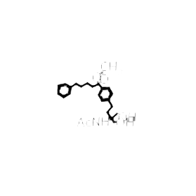 CC(=O)NC(CO)(CO)CCc1ccc(C2(CCCCc3ccccc3)OC(C)O2)cc1